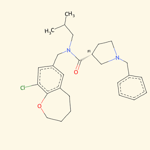 CC(C)CN(Cc1cc(Cl)c2c(c1)CCCCO2)C(=O)[C@@H]1CCN(Cc2ccccc2)C1